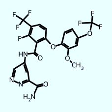 COc1cc(OC(F)(F)F)ccc1Oc1ccc(C(F)(F)F)c(F)c1C(=O)Nc1cnnc(C(N)=O)c1